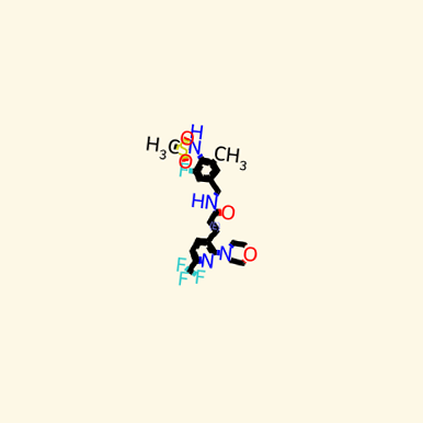 Cc1cc(CNC(=O)/C=C/c2ccc(C(F)(F)F)nc2N2CCOCC2)cc(F)c1NS(C)(=O)=O